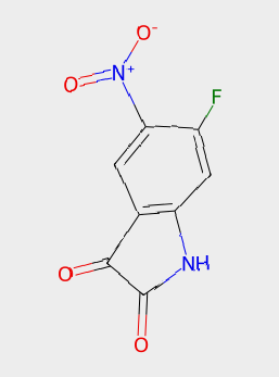 O=C1Nc2cc(F)c([N+](=O)[O-])cc2C1=O